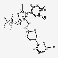 C[C@@H]1C[C@H](NS(=O)(=O)N(C)C)[C@H](COC2CCC(c3cccc(F)c3)CC2)N1c1cc(O)c(Cl)cn1